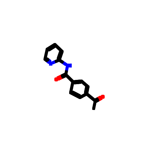 CC(=O)c1ccc(C(=O)Nc2ccccn2)cc1